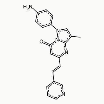 Cc1cn(-c2ccc(N)cc2)n2c(=O)cc(/C=C/c3cccnc3)nc12